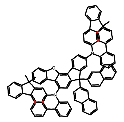 CC1(C)c2ccccc2-c2ccc(N(c3ccc4c(c3)C(c3ccc5ccccc5c3)(c3ccc5ccccc5c3)c3cc(N(c5ccc6c(c5)C(C)(C)c5ccccc5-6)c5ccccc5-c5ccccc5)c5c(oc6ccccc65)c3-4)c3ccccc3-c3ccccc3)cc21